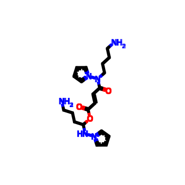 NCCCCN(C(=O)/C=C/C(=O)OC(CCCN)Nn1cccc1)n1cccc1